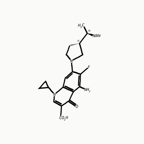 CN[C@H](C)[C@H]1CCN(c2cc3c(c(N)c2F)c(=O)c(C(=O)O)cn3C2CC2)C1